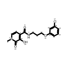 Cn1ccc(C(=O)NCCCOc2cccc(Cl)c2)c(O)c1=O